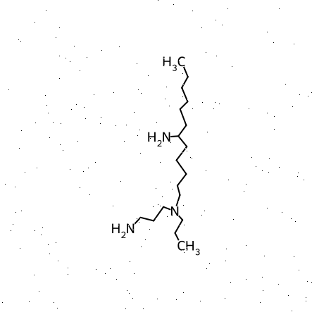 CCCCCCC(N)CCCCCN(CCC)CCCN